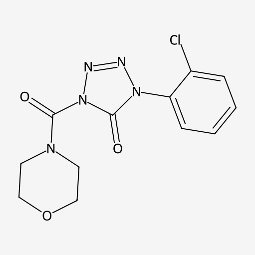 O=C(N1CCOCC1)n1nnn(-c2ccccc2Cl)c1=O